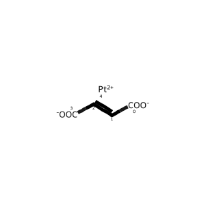 O=C([O-])C=CC(=O)[O-].[Pt+2]